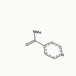 [CH]NC(=O)c1ccncc1